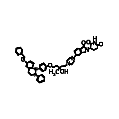 CC(O)(CCOc1ccc([C@@H]2c3ccc(OCc4ccccc4)cc3CC[C@@H]2c2ccccc2)cc1)CCN1CCN(c2ccc3c(c2)CN(C2CCC(=O)NC2=O)C3=O)CC1